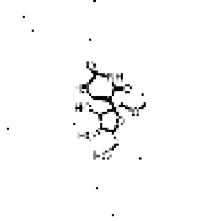 COC[C@@]1(c2c[nH]c(=O)[nH]c2=O)O[C@H](CO)[C@@H](O)[C@H]1O